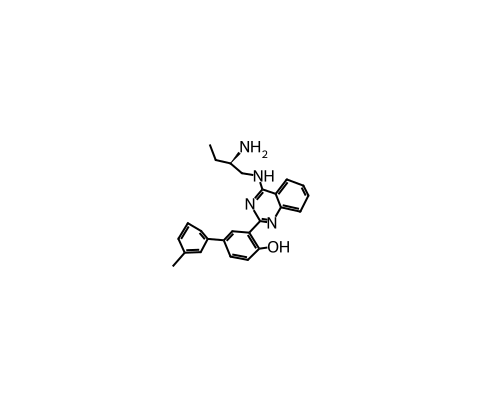 CC[C@@H](N)CNc1nc(-c2cc(-c3cccc(C)c3)ccc2O)nc2ccccc12